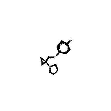 Brc1ccc(OCC2(N3CCCC3)CC2)cc1